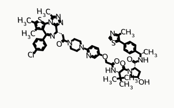 Cc1ncsc1-c1ccc([C@H](C)NC(=O)[C@@H]2C[C@@H](O)CN2C(=O)[C@@H](NC(=O)COc2ccc(N3CCN(C(=O)C[C@@H]4N=C(c5ccc(Cl)cc5)c5c(sc(C)c5C)-n5c(C)nnc54)CC3)nc2)C(C)(C)C)cc1